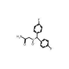 NC(=O)C[S+]([O-])C(c1ccc(F)cc1)c1ccc(F)cc1